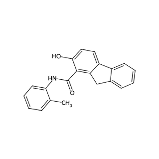 Cc1ccccc1NC(=O)c1c(O)ccc2c1Cc1ccccc1-2